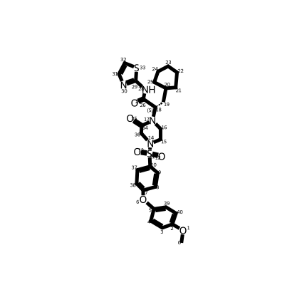 COc1ccc(Oc2ccc(S(=O)(=O)N3CCN([C@@H](CC4CCCCC4)C(=O)Nc4nccs4)C(=O)C3)cc2)cc1